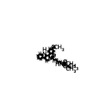 COc1ccc(C2c3[nH]c4ccccc4c3CCN2C(=O)CCCCNC(=O)OC(C)(C)C)cc1